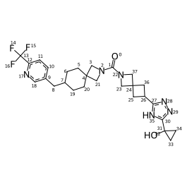 O=C(N1CC2(CCC(Cc3ccc(C(F)(F)F)nc3)CC2)C1)N1CC2(CC(c3nnc(C4(O)CC4)[nH]3)C2)C1